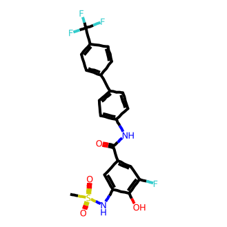 CS(=O)(=O)Nc1cc(C(=O)Nc2ccc(-c3ccc(C(F)(F)F)cc3)cc2)cc(F)c1O